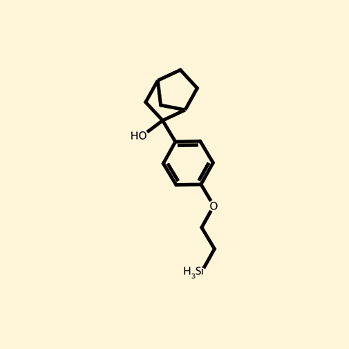 OC1(c2ccc(OCC[SiH3])cc2)CC2CCC1C2